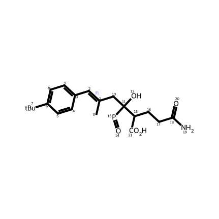 C/C(=C\c1ccc(C(C)(C)C)cc1)CC(O)(P=O)C(CCC(N)=O)C(=O)O